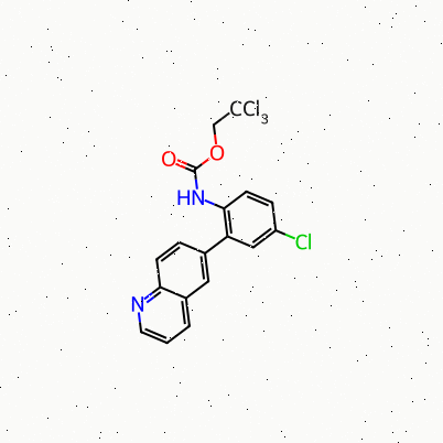 O=C(Nc1ccc(Cl)cc1-c1ccc2ncccc2c1)OCC(Cl)(Cl)Cl